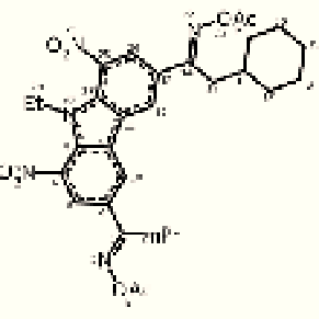 CCC/C(=N\OC(C)=O)c1cc([N+](=O)[O-])c2c(c1)c1cc(/C(CC3CCCCC3)=N/OC(C)=O)cc([N+](=O)[O-])c1n2CC